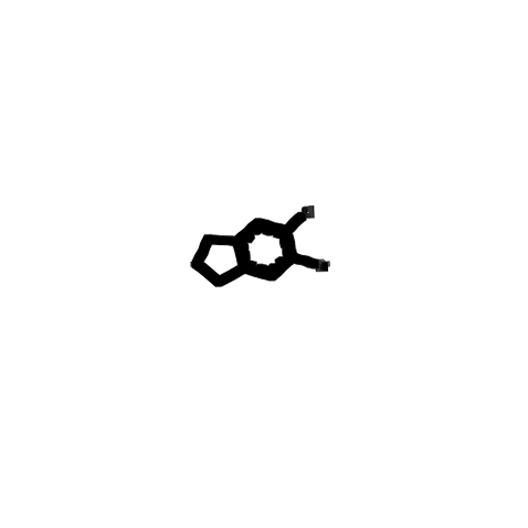 Clc1cc2c(cc1Br)C[CH]C2